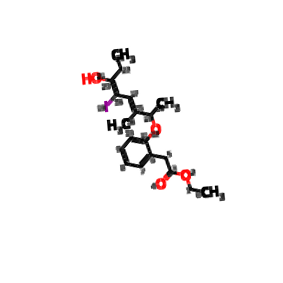 CCOC(=O)Cc1ccccc1OC(C)/C(C)=C/C(I)=C(/O)CC